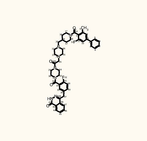 Cc1cc(-c2ccccc2)cc(F)c1C(=O)N1CCC(CN2CCN(CC(=O)N3CCN(C(=O)c4cc(Cc5n[nH]c(=O)c6ccccc56)ccc4F)CC3)CC2)CC1